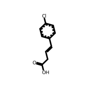 O=C(O)CC=Cc1ccc(Cl)cc1